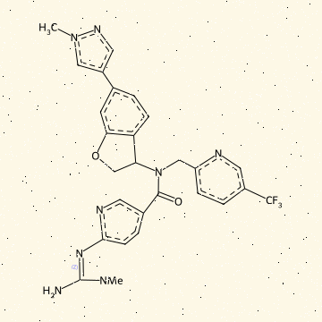 CN/C(N)=N\c1ccc(C(=O)N(Cc2ccc(C(F)(F)F)cn2)C2COc3cc(-c4cnn(C)c4)ccc32)cn1